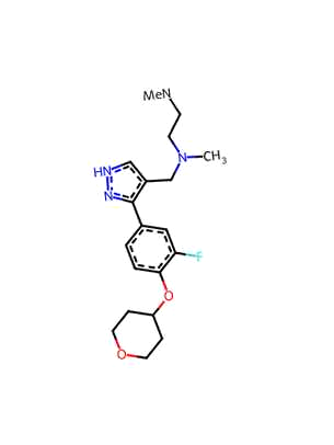 CNCCN(C)Cc1c[nH]nc1-c1ccc(OC2CCOCC2)c(F)c1